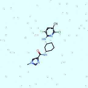 Cn1cnc(C(=O)N[C@H]2CCC[C@@H](Nc3nc(Cl)c(C#N)cc3F)C2)c1